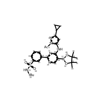 CC(=O)n1nc(C2CC2)cc1Nc1nc(-c2cccc(S(=O)(=O)NC(C)(C)C)c2)ncc1B1OC(C)(C)C(C)(C)O1